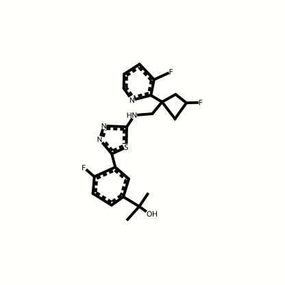 CC(C)(O)c1ccc(F)c(-c2nnc(NCC3(c4ncccc4F)CC(F)C3)s2)c1